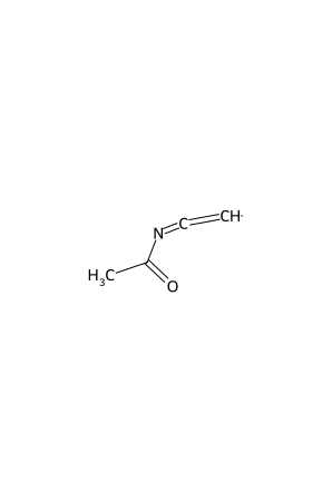 [CH]=C=NC(C)=O